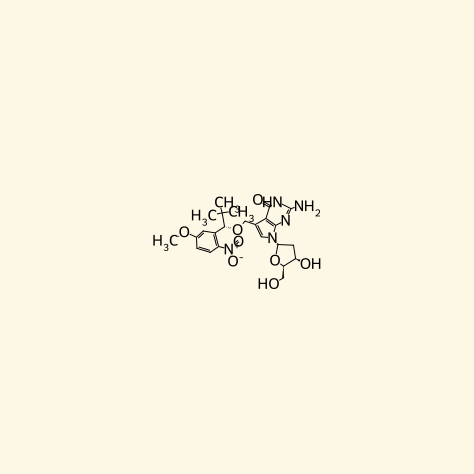 COc1ccc([N+](=O)[O-])c([C@@H](OCc2cn([C@H]3C[C@@H](O)[C@@H](CO)O3)c3nc(N)[nH]c(=O)c23)C(C)(C)C)c1